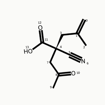 C=C(C)C[C@@](C#N)(CC(C)=O)C(=O)O